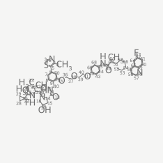 Cc1ncsc1-c1ccc(CNC(=O)[C@@H]2C[C@@H](O)CN2C(=O)[C@@H](NC(=O)C2(F)CC2)C(C)(C)C)c(OCCOCCOc2ccc(NC(=O)[C@H](C)[C@H]3CC[C@@H](c4ccnc5ccc(F)cc54)CC3)cc2)c1